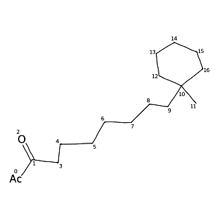 CC(=O)C(=O)CCCCCCCC1(C)CCCCC1